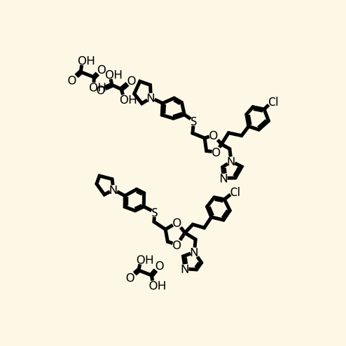 Clc1ccc(CCC2(Cn3ccnc3)OCC(CSc3ccc(N4CCCC4)cc3)O2)cc1.Clc1ccc(CCC2(Cn3ccnc3)OCC(CSc3ccc(N4CCCC4)cc3)O2)cc1.O=C(O)C(=O)O.O=C(O)C(=O)O.O=C(O)C(=O)O